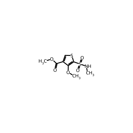 CNS(=O)(=O)c1scc(C(=O)OC)c1OC